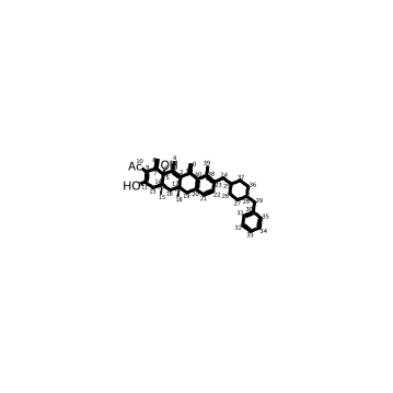 C=C1C2=C(C)[C@@]3(O)C(=C)C(C(C)=O)=C(O)C[C@@]3(C)C[C@@]2(C)Cc2ccc(CC3CCC(Cc4ccccc4)CC3)c(C)c21